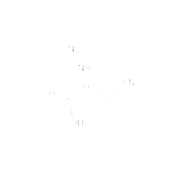 N.N#CSOP([O-])O.[Na+]